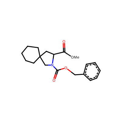 COC(=O)C1CC2(CCCCC2)CN1C(=O)OCc1ccccc1